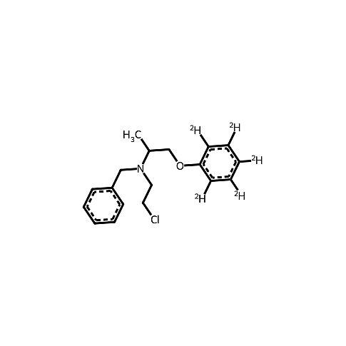 [2H]c1c([2H])c([2H])c(OCC(C)N(CCCl)Cc2ccccc2)c([2H])c1[2H]